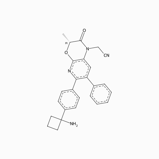 C[C@H]1Oc2nc(-c3ccc(C4(N)CCC4)cc3)c(-c3ccccc3)cc2N(CC#N)C1=O